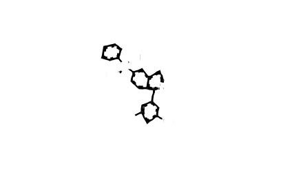 Cc1cc(C)cc(-c2nccc3cc([Si](C)(C)c4ccccc4)ccc23)c1